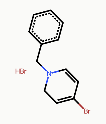 Br.BrC1=CCN(Cc2ccccc2)C=C1